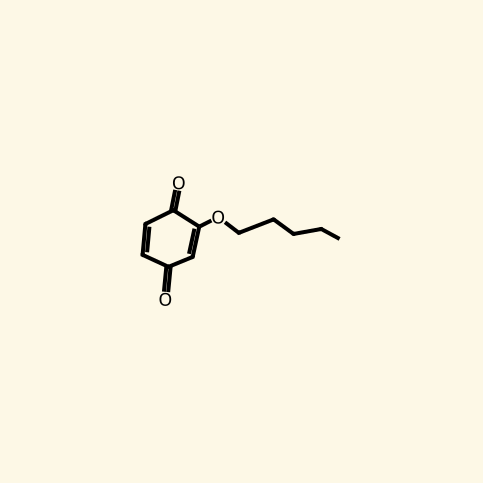 CCCCCOC1=CC(=O)C=CC1=O